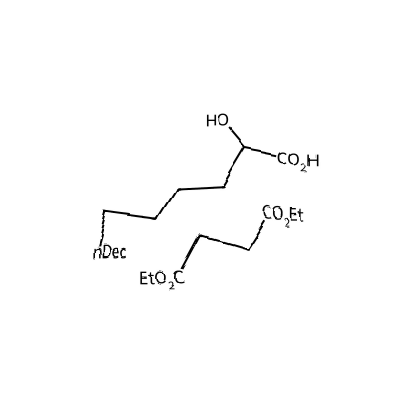 CCCCCCCCCCCCCCC(O)C(=O)O.CCOC(=O)CCC(=O)OCC